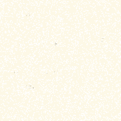 COc1ccc(S(=O)(=O)Nc2ccccc2Oc2ccc(F)cc2F)cc1